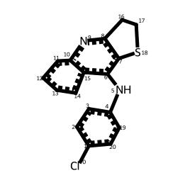 Clc1ccc(Nc2c3c(nc4ccccc24)CCS3)cc1